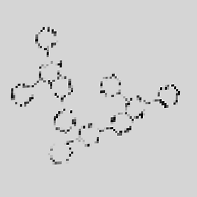 C1=CC(c2ccc3nc(-c4ccccc4)cc(-c4ccccc4)c3c2)CC=C1C1(c2ccc(-c3ccc4nc(-c5ccccc5)cc(-c5ccccc5)c4c3)cc2)CCCCC1